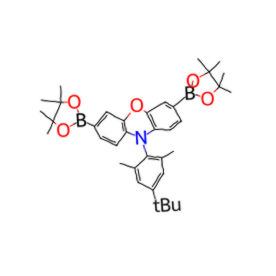 Cc1cc(C(C)(C)C)cc(C)c1N1c2ccc(B3OC(C)(C)C(C)(C)O3)cc2Oc2cc(B3OC(C)(C)C(C)(C)O3)ccc21